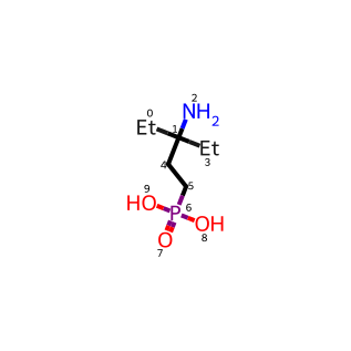 CCC(N)(CC)CCP(=O)(O)O